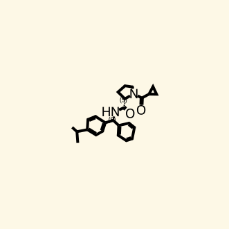 CC(C)c1ccc([C@@H](NC(=O)[C@@H]2CCCN2C(=O)C2CC2)c2ccccc2)cc1